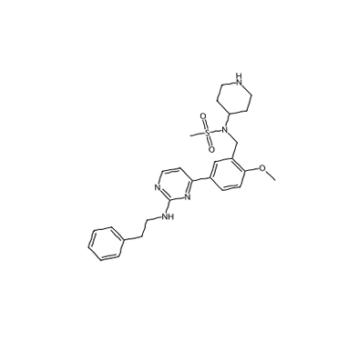 COc1ccc(-c2ccnc(NCCc3ccccc3)n2)cc1CN(C1CCNCC1)S(C)(=O)=O